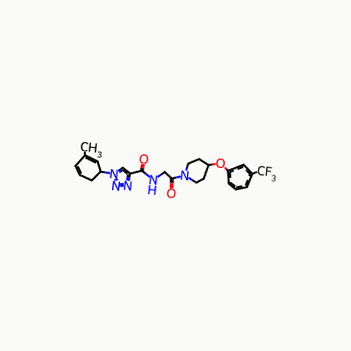 CC1=CC(n2cc(C(=O)NCC(=O)N3CCC(Oc4cccc(C(F)(F)F)c4)CC3)nn2)CC=C1